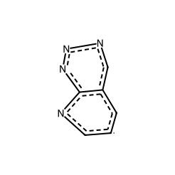 [c]1cnc2nnncc2c1